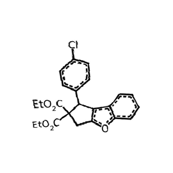 CCOC(=O)C1(C(=O)OCC)Cc2oc3ccccc3c2C1c1ccc(Cl)cc1